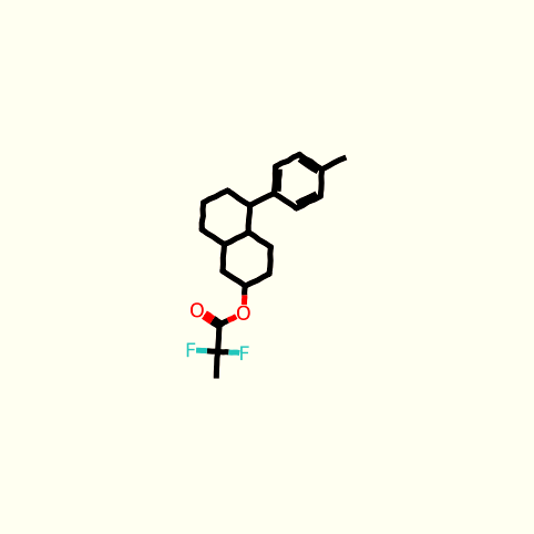 Cc1ccc(C2CCCC3CC(OC(=O)C(C)(F)F)CCC32)cc1